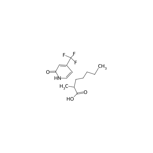 CCCCCC(C)C(=O)O.O=c1cc(C(F)(F)F)cc[nH]1